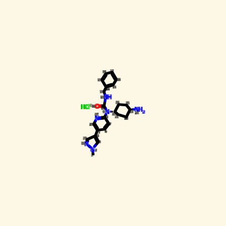 Cl.Cn1cc(-c2ccc(N(C(=O)NCc3ccccc3)[C@H]3CC[C@H](N)CC3)nc2)cn1